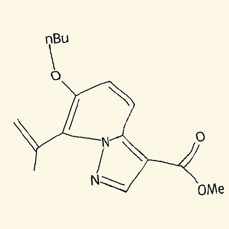 C=C(C)c1c(OCCCC)ccc2c(C(=O)OC)cnn12